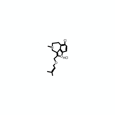 CC(C)=CCOCc1oc2ccc(Cl)c3c2c1CN(C)CC3.Cl